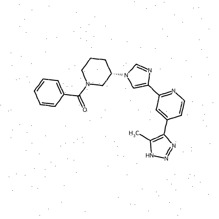 Cc1[nH]nnc1-c1ccnc(-c2cn([C@H]3CCCN(C(=O)c4ccccc4)C3)cn2)c1